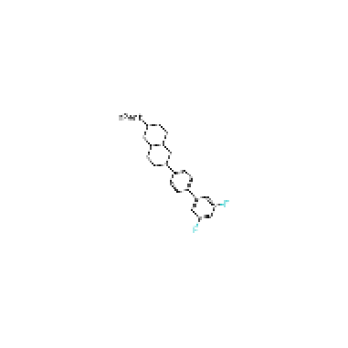 CCCCCC1CCC2CC(c3ccc(-c4cc(F)cc(F)c4)cc3)CCC2C1